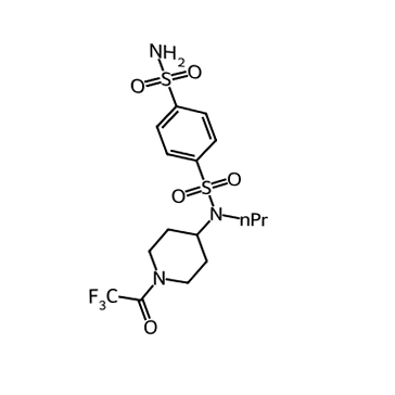 CCCN(C1CCN(C(=O)C(F)(F)F)CC1)S(=O)(=O)c1ccc(S(N)(=O)=O)cc1